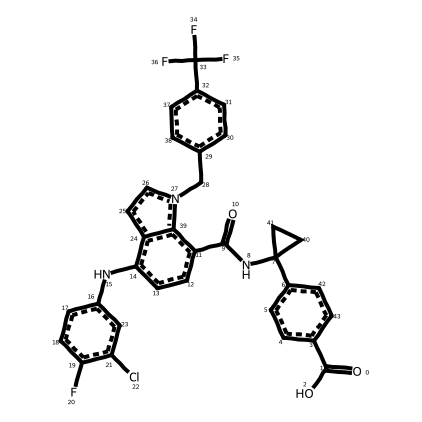 O=C(O)c1ccc(C2(NC(=O)c3ccc(Nc4ccc(F)c(Cl)c4)c4ccn(Cc5ccc(C(F)(F)F)cc5)c34)CC2)cc1